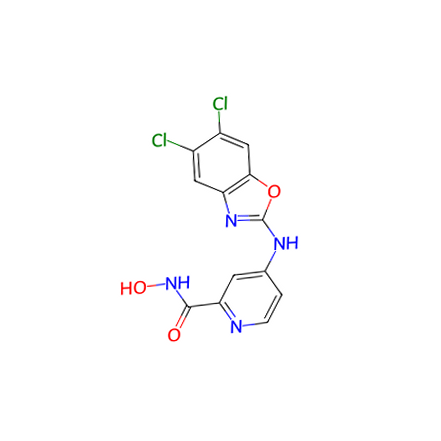 O=C(NO)c1cc(Nc2nc3cc(Cl)c(Cl)cc3o2)ccn1